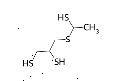 CC(S)SCC(S)CS